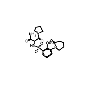 COc1c(N2CCCCC2=O)cccc1S(=O)(=O)N[C@@H](C(N)=O)C(=O)N1CCCC1